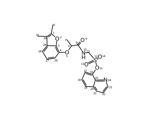 Cc1oc2c(OC(C)C(=O)NCS(=O)(=O)Oc3cccc4cccnc34)cccc2c1C